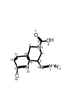 [N-]=[N+]=NC1CN(C(=O)O)Cc2ccc(Cl)nc21